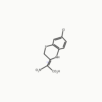 O=C(O)/C(=C1/CSc2cc(Cl)ccc2N1)[N+](=O)[O-]